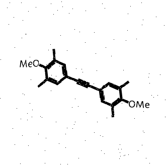 COc1c(C)cc(C#Cc2cc(C)c(OC)c(C)c2)cc1C